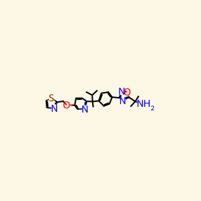 CC(C)C(C)(c1ccc(-c2noc(C(C)(C)N)n2)cc1)c1ccc(OCc2nccs2)cn1